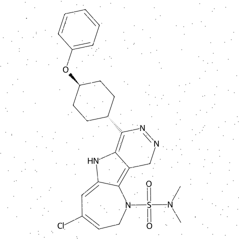 CN(C)S(=O)(=O)N1CC=C(Cl)C=c2[nH]c3c(c21)CN=NC=3[C@H]1CC[C@H](Oc2ccccc2)CC1